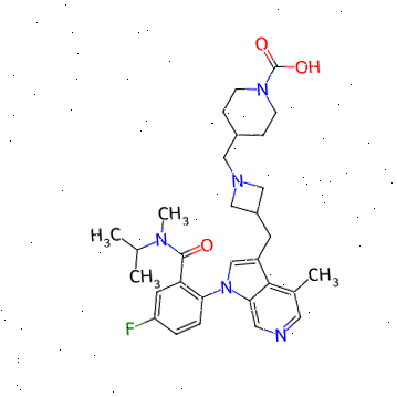 Cc1cncc2c1c(CC1CN(CC3CCN(C(=O)O)CC3)C1)cn2-c1ccc(F)cc1C(=O)N(C)C(C)C